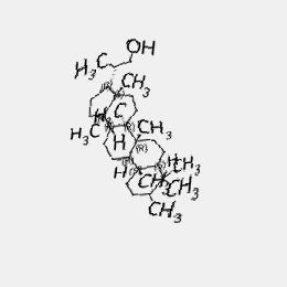 CC(CO)[C@H]1CC[C@]2(C)[C@H]3CC[C@@H]4[C@@]5(C)CCC(C)C(C)(C)[C@@H]5CC[C@@]4(C)[C@]3(C)CC[C@@]12C